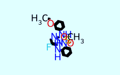 CCOc1cccc(Nc2ncc(F)c(Nc3ccccc3NS(C)(=O)=O)n2)c1